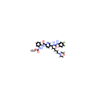 CC(C)(C)OC(=O)Nc1ccccc1NC(=O)c1ccc(C(CCCCCN2CCOCC2)NC(=O)Nc2ccc(F)c(F)c2)cn1